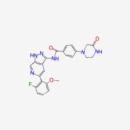 COc1cccc(F)c1-c1cc2c(NC(=O)c3ccc(N4CCNC(=O)C4)cc3)n[nH]c2cn1